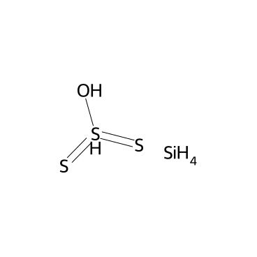 O[SH](=S)=S.[SiH4]